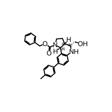 Cc1ccc(-c2ccc3c(c2)[C@H]2[C@H](CCN2C(=O)OCc2ccccc2)[C@H](CO)N3)cc1